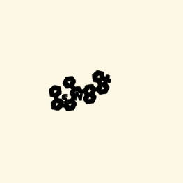 CC1(C)c2ccccc2-c2c(-c3ccc(-c4cc(-c5ccccc5)cc(-c5cccc6c5sc5c(-c7ccccc7)cccc56)n4)c4ccccc34)cccc21